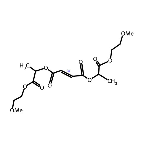 COCCOC(=O)C(C)OC(=O)/C=C/C(=O)OC(C)C(=O)OCCOC